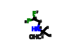 CC(C)(C=O)NCC(F)F